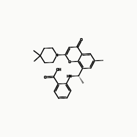 Cc1cc([C@H](C)Nc2ccccc2C(=O)O)c2oc(N3CCC(C)(C)CC3)cc(=O)c2c1